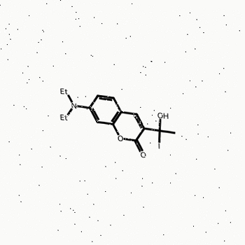 CCN(CC)c1ccc2cc(C(C)(O)I)c(=O)oc2c1